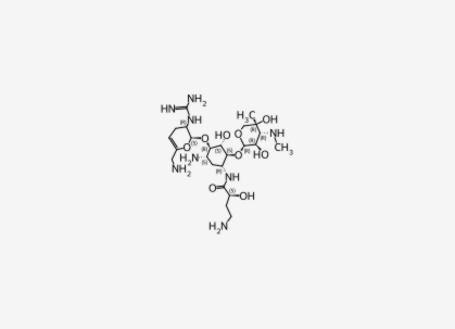 CN[C@@H]1[C@@H](O)[C@@H](O[C@@H]2[C@@H](O)[C@H](O[C@H]3OC(CN)=CC[C@H]3NC(=N)N)[C@@H](N)C[C@H]2NC(=O)[C@@H](O)CCN)OC[C@]1(C)O